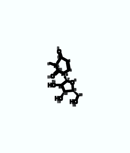 Cn1c(=O)ccn([C@@H]2O[C@H](CO)[C@H](O)C2O)c1=O